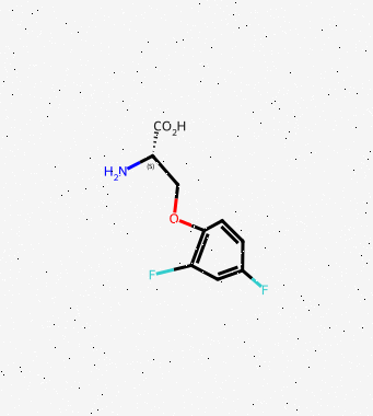 N[C@@H](COc1ccc(F)cc1F)C(=O)O